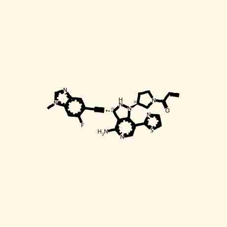 C=CC(=O)N1CC[C@H](N2N[C@@H](C#Cc3cc4ncn(C)c4cc3F)c3c(N)ncc(-c4nccs4)c32)C1